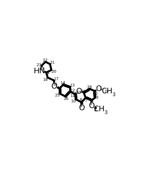 COc1cc(OC)c2c(=O)cc(-c3ccc(OCCC4CCCCN4)cc3)oc2c1